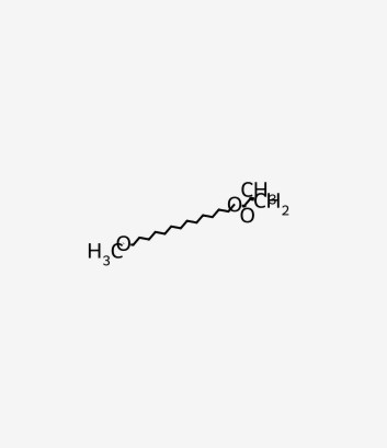 C=C(C)C(=O)OCCCCCCCCCCCCCOC